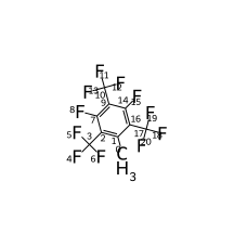 Cc1c(C(F)(F)F)c(F)c(C(F)(F)F)c(F)c1C(F)(F)F